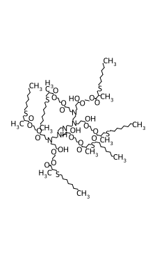 CCCCCCCCSCC(C)C(=O)OCCOC(=O)CCN(CCC(O)OCCOC(=O)C(C)CSCCCCCCCC)CCN(CCNCCN(CCC(O)OCCOC(=O)C(C)CSCCCCCCCC)CCN(CCC(=O)OCCOC(=O)C(C)CSCCCCCCCC)CCC(O)OCCOC(=O)C(C)CSCCCCCCCC)CCC(O)OCCOC(=O)C(C)CSCCCCCCCC